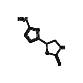 O=C1NCC(c2ccc(C(=O)O)s2)O1